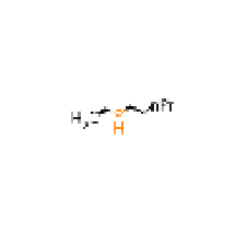 C=CPCCCCC